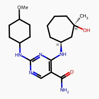 COC1CCC(Nc2ncc(C(N)=O)c(N[C@H]3CCCC[C@@](C)(O)C3)n2)CC1